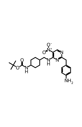 CC(C)(C)OC(=O)NC1CCC(CNc2nc(Cc3ccc(N)cc3)ncc2[N+](=O)[O-])CC1